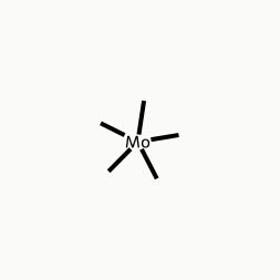 [CH3][Mo]([CH3])([CH3])([CH3])[CH3]